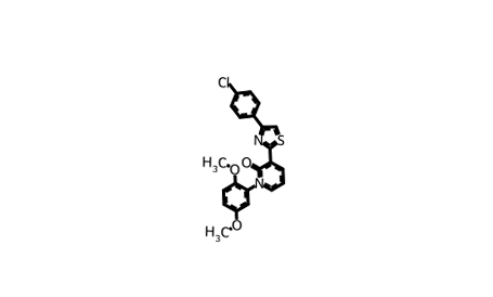 COc1ccc(OC)c(-n2cccc(-c3nc(-c4ccc(Cl)cc4)cs3)c2=O)c1